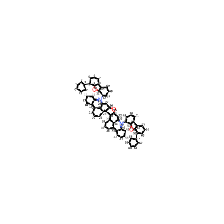 c1ccc(-c2cccc3c2oc2c(-n4c5ccccc5c5cccc6c7c(cc4c56)oc4cc5c6c(cccc6c47)c4ccccc4n5-c4cccc5c4oc4c(-c6ccccc6)cccc45)cccc23)cc1